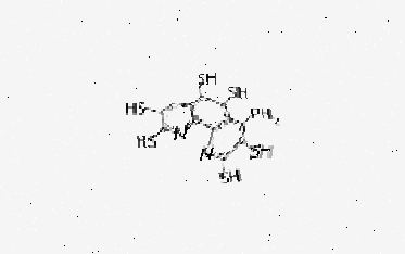 Pc1c(S)c(S)nc2c1c(S)c(S)c1cc(S)c(S)nc12